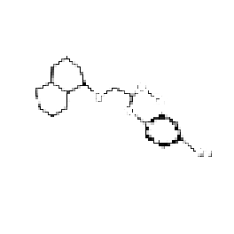 CCOC(COC1CCCC2CCCCC21)Oc1ccc(C(C)CC)cc1